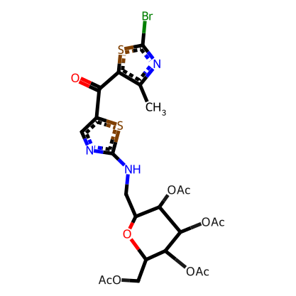 CC(=O)OCC1OC(CNc2ncc(C(=O)c3sc(Br)nc3C)s2)C(OC(C)=O)C(OC(C)=O)C1OC(C)=O